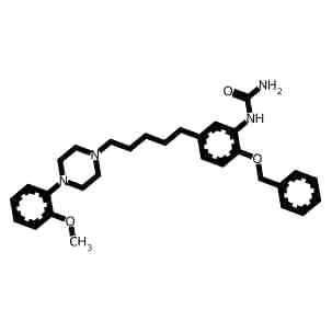 COc1ccccc1N1CCN(CCCCCc2ccc(OCc3ccccc3)c(NC(N)=O)c2)CC1